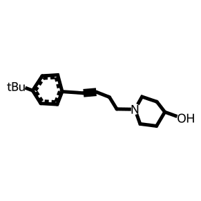 CC(C)(C)c1ccc(C#CCCN2CCC(O)CC2)cc1